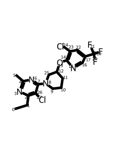 CCc1nc(C)nc(N2CCCC(Oc3ncc(C(F)(F)F)cc3Cl)C2)c1Cl